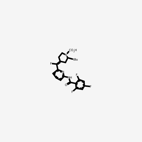 CC(C)(C)C1C/C(=C(/F)c2cccc(NC(=O)c3c(F)cc(F)cc3F)n2)CCN1C(=O)O